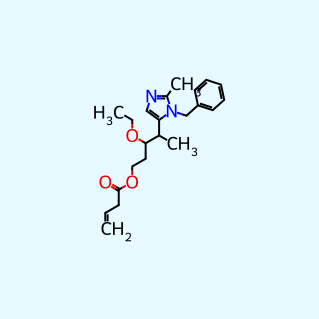 C=CCC(=O)OCCC(OCC)C(C)c1cnc(C)n1Cc1ccccc1